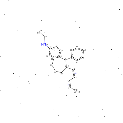 C/C=C\C=C/C1=C(c2ccccc2)c2ccc(NCC(C)(C)C)cc2CCC1